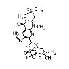 COC(=O)c1c(N(C)CCN(C)C)nc(C(OCC[Si](C)(C)C)OS(=O)(=O)C(F)(F)F)c2nc[nH]c12